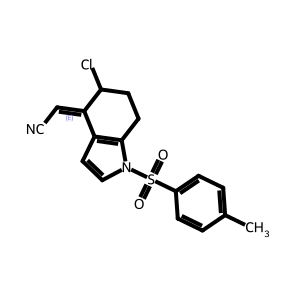 Cc1ccc(S(=O)(=O)n2ccc3c2CCC(Cl)/C3=C/C#N)cc1